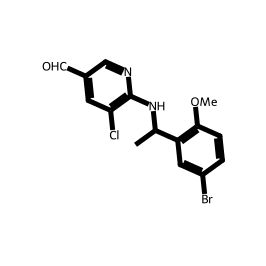 COc1ccc(Br)cc1C(C)Nc1ncc(C=O)cc1Cl